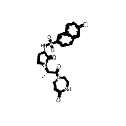 C[C@@H](C(=O)N1CCNC(=O)CC1)N1CC[C@H](NS(=O)(=O)c2ccc3cc(Cl)ccc3c2)C1=O